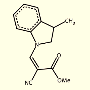 COC(=O)C(C#N)=CN1CC(C)c2ccccc21